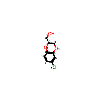 OC[C@H]1COc2cc(Cl)ccc2O1